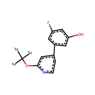 [2H]C([2H])([2H])Oc1cc(-c2cc(O)cc(F)c2)ccn1